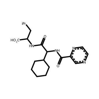 CC(C)CC(NC(=O)C(NC(=O)c1cnccn1)C1CCCCC1)C(=O)O